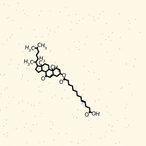 CC(C)CCCC(C)C1CCC2C3C(=O)C=C4CC(OC(=O)CCCCCCC/C=C/CCC(=O)O)CCC4(C)C3CCC12C